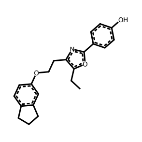 CCc1oc(-c2ccc(O)cc2)nc1CCOc1ccc2c(c1)CCC2